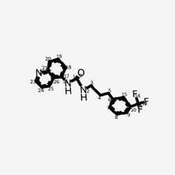 O=C(NCCCc1cccc(C(F)(F)F)c1)Nc1cccc2ncccc12